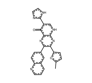 Cc1ccc(-c2nc3[nH]cc(-c4ncc[nH]4)c(=O)c3nc2-c2ccc3ncccc3c2)o1